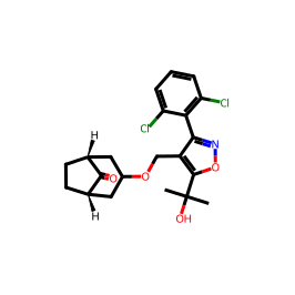 CC(C)(O)c1onc(-c2c(Cl)cccc2Cl)c1COC1C[C@H]2CC[C@@H](C1)C2=O